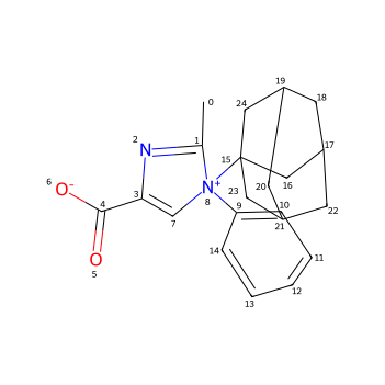 CC1=NC(C(=O)[O-])=C[N+]1(c1ccccc1)C12CC3CC(CC(C3)C1)C2